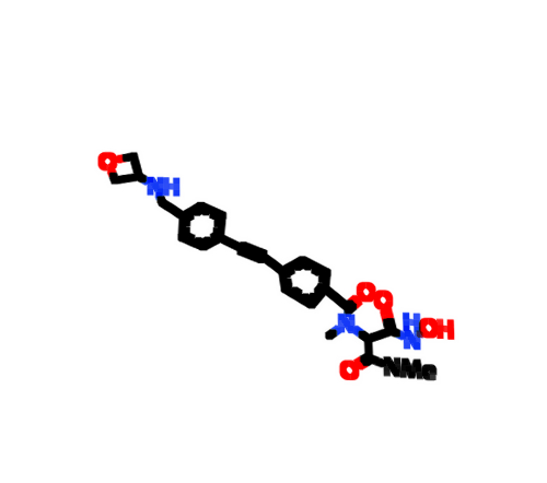 CNC(=O)C(C(=O)NO)N(C)C(=O)c1ccc(C#Cc2ccc(CNC3COC3)cc2)cc1